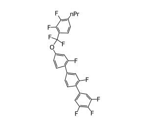 CCCc1ccc(C(F)(F)Oc2ccc(-c3ccc(-c4cc(F)c(F)c(F)c4)c(F)c3)c(F)c2)c(F)c1F